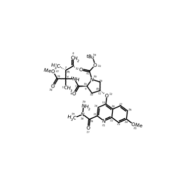 C=C[C@@H](C)C(C)(NC(=O)[C@@H]1C[C@@H](Oc2cc(C(=O)N(C)N)nc3cc(OC)ccc23)CN1C(=O)OC(C)(C)C)C(=O)OC